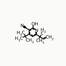 C=CC(C)(C)c1cc(C(C)(C)C)c(C#N)c(O)n1